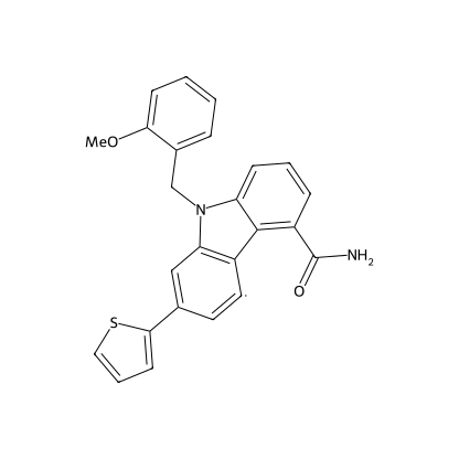 COc1ccccc1Cn1c2cc(-c3cccs3)c[c]c2c2c(C(N)=O)cccc21